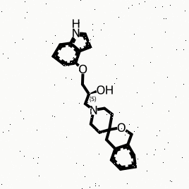 O[C@H](COc1cccc2[nH]ccc12)CN1CCC2(CC1)Cc1ccccc1CO2